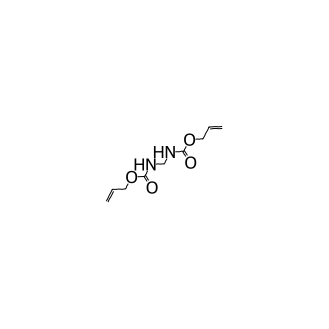 C=CCOC(=O)NCNC(=O)OCC=C